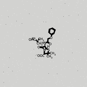 CC1(C)S[C@@H]2[C@H](NC(=O)COc3ccccc3)C(=O)N2[C@H]1C(=O)[O-].CN(C)C=O.[K+]